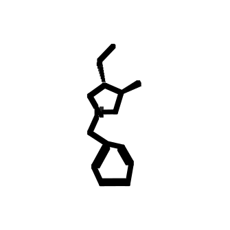 CC[C@H]1CN(Cc2ccccc2)C[C@@H]1C